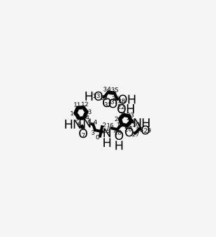 CC(C)(CCn1c(=O)[nH]c2ccccc21)NC[C@H](O)c1cc(O)cc2c1OCC(=O)N2.O=C(O)/C=C\C(=O)O